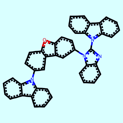 c1ccc2c(c1)nc(-n1c3ccccc3c3ccccc31)n2-c1ccc2oc3ccc(-n4c5ccccc5c5ccccc54)cc3c2c1